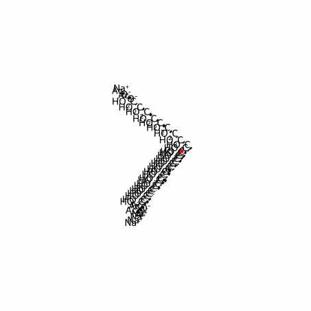 CC(=O)O.CC(=O)O.CC(=O)O.CC(=O)O.CC(=O)O.CC(=O)O.CC(=O)O.CC(=O)O.CC(=O)O.CC(=O)O.CC(=O)O.CC(=O)O.CC(=O)O.CC(=O)O.CC(=O)O.CC(=O)O.CC(=O)O.CC(=O)O.CC(=O)O.CC(=O)O.CC(=O)O.CC(=O)O.CC(=O)O.CC(=O)O.CC(=O)O.CC(=O)O.CC(=O)O.CC(=O)O.CC(=O)O.CC(=O)O.CC(=O)[O-].CC(=O)[O-].CC(=O)[O-].CC(=O)[O-].CC(=O)[O-].[Na+].[Na+].[Na+].[Na+].[Na+]